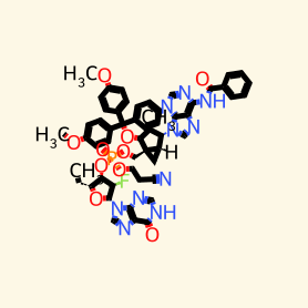 CC[C@H]1O[C@@H](n2cnc3c(=O)[nH]cnc32)[C@H](F)[C@@H]1OP(=O)(OCCC#N)OC[C@]12C[C@@H]1[C@@H](n1cnc3c(NC(=O)c4ccccc4)ncnc31)[C@H](C)C2OC(c1ccccc1)(c1ccc(OC)cc1)c1ccc(OC)cc1